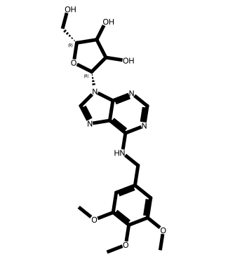 COc1cc(CNc2ncnc3c2ncn3[C@@H]2O[C@H](CO)C(O)C2O)cc(OC)c1OC